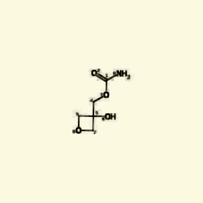 NC(=O)OCC1(O)COC1